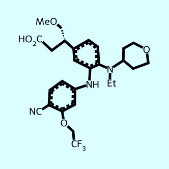 CCN(c1ccc([C@@H](COC)CC(=O)O)cc1Nc1ccc(C#N)c(OCC(F)(F)F)c1)C1CCOCC1